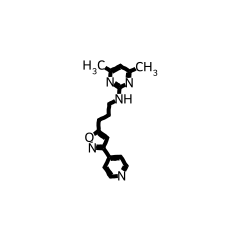 Cc1cc(C)nc(NCCCc2cc(-c3ccncc3)no2)n1